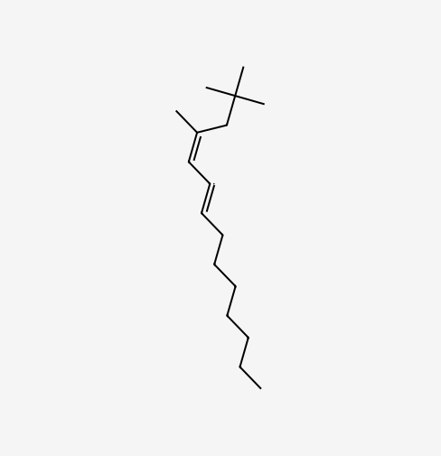 CCCCCCC/C=[C]/C=C(C)CC(C)(C)C